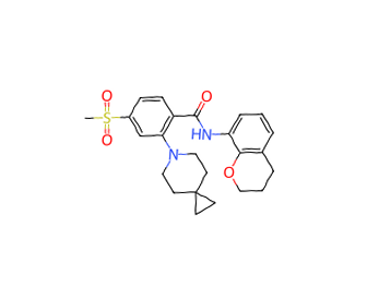 CS(=O)(=O)c1ccc(C(=O)Nc2cccc3c2OCCC3)c(N2CCC3(CC2)CC3)c1